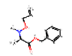 [CH2]C(=O)N(OCC=C)[C@H](C)C(=O)OCc1ccccc1